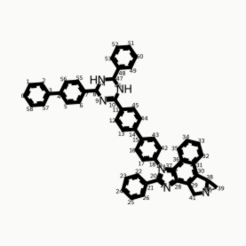 c1ccc(-c2ccc(C3N=C(c4ccc(-c5ccc(-n6c(-c7ccccc7)nc7c8c(c9ccccc9c76)C6C[N@]6C8)cc5)cc4)NC(c4ccccc4)N3)cc2)cc1